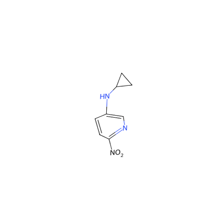 O=[N+]([O-])c1ccc(NC2CC2)cn1